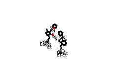 CCO[Si](CCCc1ccc(C)c(-c2nc3ccccc3s2)c1SSSSSSc1c(CCC[Si](OCC)(OCC)OCC)ccc(C)c1-c1nc2ccccc2s1)(OCC)OCC